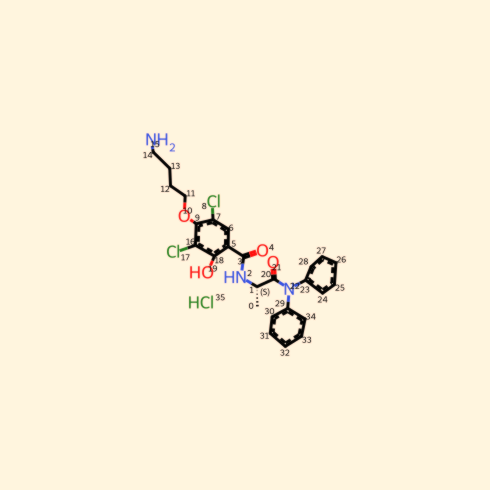 C[C@H](NC(=O)c1cc(Cl)c(OCCCCN)c(Cl)c1O)C(=O)N(c1ccccc1)c1ccccc1.Cl